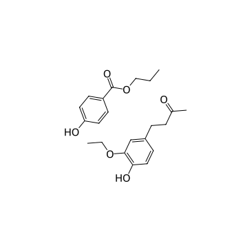 CCCOC(=O)c1ccc(O)cc1.CCOc1cc(CCC(C)=O)ccc1O